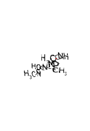 CCc1ccc(C2(O)CCN(CCC(C)c3ccc(C4(C)CCNCC4)cn3)CC2)cn1